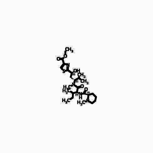 CCOC(=O)c1csc([C@H](O)C[C@H](C(C)C)N(C)C(=O)[C@@H](NC(=O)[C@H]2CCCCN2C)C(C)CC)n1